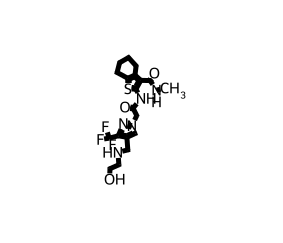 CNC(=O)c1c(NC(=O)Cn2cc(CNCCO)c(C(F)(F)F)n2)sc2c1CCCC2